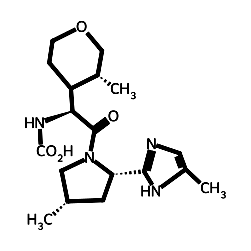 Cc1cnc([C@@H]2C[C@H](C)CN2C(=O)[C@@H](NC(=O)O)C2CCOC[C@@H]2C)[nH]1